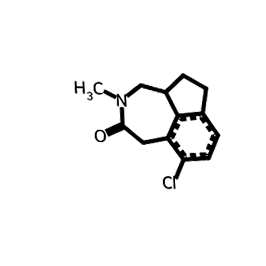 CN1CC2CCc3ccc(Cl)c(c32)CC1=O